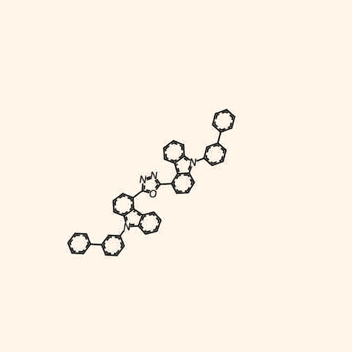 c1ccc(-c2cccc(-n3c4ccccc4c4c(-c5nnc(-c6cccc7c6c6ccccc6n7-c6cccc(-c7ccccc7)c6)o5)cccc43)c2)cc1